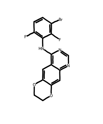 Fc1ccc(Br)c(F)c1Nc1ncnc2cc3c(cc12)OCCO3